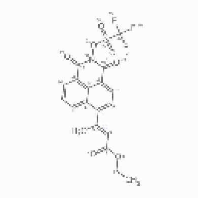 CCOC(=O)/C=C(\C)c1ccc2c3c(cccc13)C(=O)N(OS(=O)(=O)C(F)(F)F)C2=O